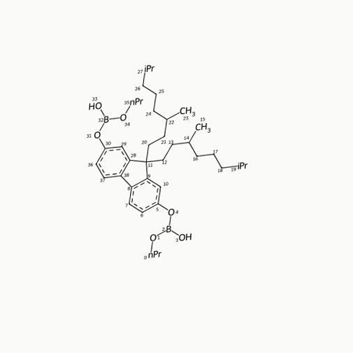 CCCOB(O)Oc1ccc2c(c1)C(CCC(C)CCCC(C)C)(CCC(C)CCCC(C)C)c1cc(OB(O)OCCC)ccc1-2